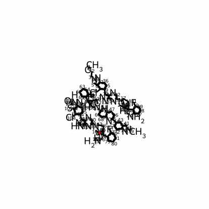 COCCn1cc2c(Cl)c(-c3n[nH]c4nc(N5CC[C@@H]6[C@H](C5)[C@@]6(CN)c5ccccc5F)cnc34)ccc2n1.Cn1cc2cc(-c3ccc4nc(N5CC[C@@H]6[C@H](C5)[C@@]6(CN)c5ccccc5F)ccc4n3)ccc2n1.NC[C@]1(c2ccccc2F)[C@@H]2CCN(c3cnc4c(-c5ccc6[nH]c(=O)sc6c5Cl)n[nH]c4n3)C[C@@H]21